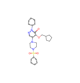 O=c1c(OCC2CCCC2)c(N2CCN(S(=O)(=O)c3ccccc3)CC2)cnn1-c1ccccc1